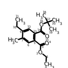 CCOC(=O)c1cc(C)c(CC)cc1C(=O)OC(C)(C)C